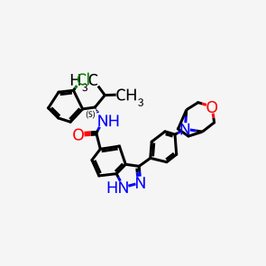 CC(C)[C@H](NC(=O)c1ccc2[nH]nc(-c3ccc(N4C5CCC4COC5)cc3)c2c1)c1ccccc1Cl